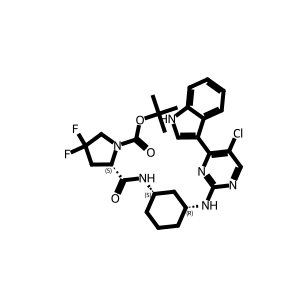 CC(C)(C)OC(=O)N1CC(F)(F)C[C@H]1C(=O)N[C@H]1CCC[C@@H](Nc2ncc(Cl)c(-c3c[nH]c4ccccc34)n2)C1